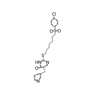 O=c1[nH]c(SCCCCCCCS(=O)(=O)c2ccc(Cl)cc2)ncc1Cc1cccnc1